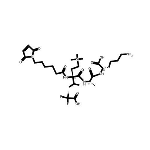 CC(C)[C@](CC[Si](C)(C)C)(NC(=O)CCCCCN1C(=O)C=CC1=O)C(=O)N[C@@H](C)C(=O)N[C@@H](CCCCN)C(=O)O.O=C(O)C(F)(F)F